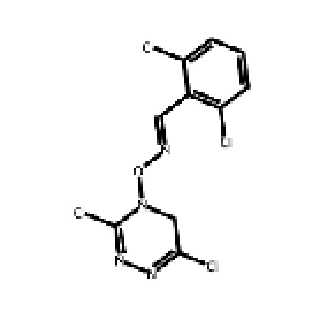 ClC1=NN=C(Cl)N(ON=Cc2c(Cl)cccc2Cl)C1